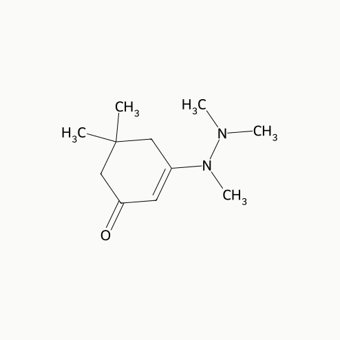 CN(C)N(C)C1=CC(=O)CC(C)(C)C1